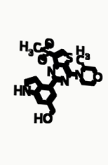 C[C@@H]1COCCN1c1nc(-c2cc(CO)cc3[nH]ccc23)nc2c(S(C)(=O)=O)csc12